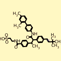 Cc1ccc(-c2ccc(NC(=O)C(c3ccc(/C=C/C(C)(C)C)cc3)C(C)c3ccc(C(=O)NCCS(=O)(=O)O)cc3)cc2)c(C)c1